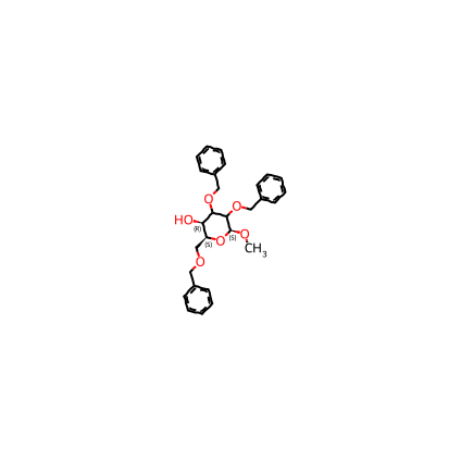 CO[C@H]1O[C@@H](COCc2ccccc2)[C@@H](O)C(OCc2ccccc2)C1OCc1ccccc1